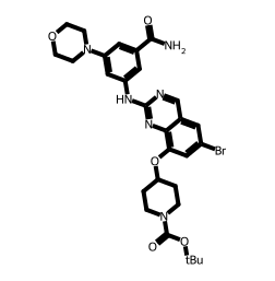 CC(C)(C)OC(=O)N1CCC(Oc2cc(Br)cc3cnc(Nc4cc(C(N)=O)cc(N5CCOCC5)c4)nc23)CC1